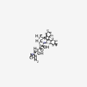 C/N=C(\N)NC(=O)C[C@@H](O)C[C@@H](O)/C=C/c1c(-c2ccc(F)cc2)c2ccccc2n1C(C)C